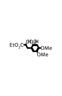 CCOC(=O)C(Cc1ccc(OC)c(OC)c1)C(=O)O.O